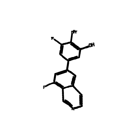 CCCc1c(O)cc(-c2cc(F)c3cnccc3c2)cc1F